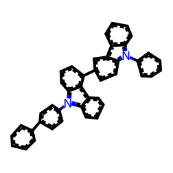 c1ccc(-c2ccc(-n3c4ccccc4c4c(-c5ccc6c(c5)c5ccccc5n6-c5ccccc5)cccc43)cc2)cc1